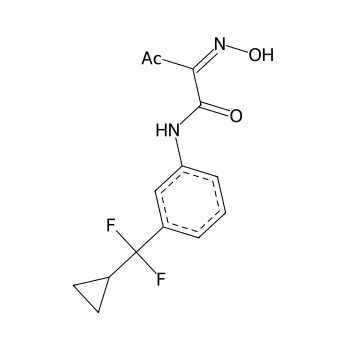 CC(=O)/C(=N/O)C(=O)Nc1cccc(C(F)(F)C2CC2)c1